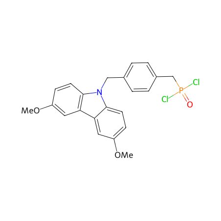 COc1ccc2c(c1)c1cc(OC)ccc1n2Cc1ccc(CP(=O)(Cl)Cl)cc1